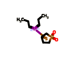 CC/C=P(=C\CC)/SC1CCS(=O)(=O)C1